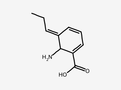 CCC=C1C=CC=C(C(=O)O)C1N